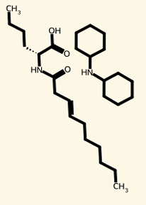 C1CCC(NC2CCCCC2)CC1.CCCCCC/C=C/CC(=O)N[C@H](CCCC)C(=O)O